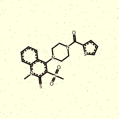 Cn1c(=S)c(S(C)(=O)=O)c(N2CCN(C(=O)c3cccs3)CC2)c2ccccc21